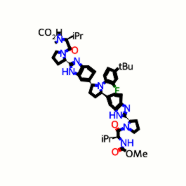 COC(=O)N[C@H](C(=O)N1CCC[C@H]1c1nc2ccc([C@H]3CC[C@H](c4ccc5nc([C@@H]6CCCN6C(=O)[C@H](C(C)C)N(C)C(=O)O)[nH]c5c4)N3c3ccc(C(C)(C)C)cc3F)cc2[nH]1)C(C)C